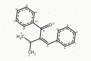 CC(C)C(=Cc1ccccc1)C(=O)c1ccccc1